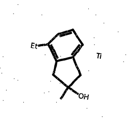 CCc1cccc2c1CC(C)(O)C2.[Ti]